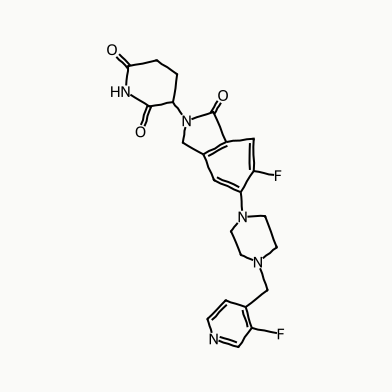 O=C1CCC(N2Cc3cc(N4CCN(Cc5ccncc5F)CC4)c(F)cc3C2=O)C(=O)N1